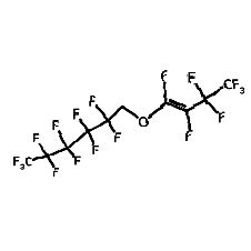 FC(OCC(F)(F)C(F)(F)C(F)(F)C(F)(F)C(F)(F)F)=C(F)C(F)(F)C(F)(F)F